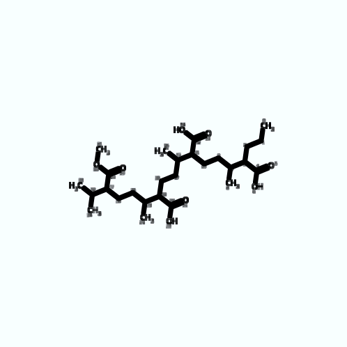 CCCC(C(=O)O)C(C)CCC(C(=O)O)C(C)CCC(C(=O)O)C(C)CCC(C(=O)OC)C(C)C